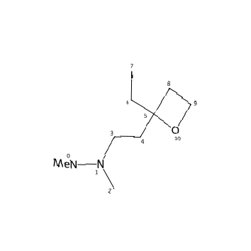 CNN(C)CCC1(CI)CCO1